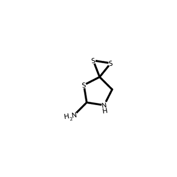 NC1NCC2(SS2)S1